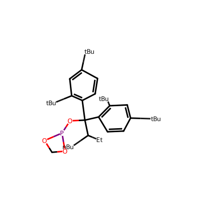 CCCCC(CC)C(OP1OCO1)(c1ccc(C(C)(C)C)cc1C(C)(C)C)c1ccc(C(C)(C)C)cc1C(C)(C)C